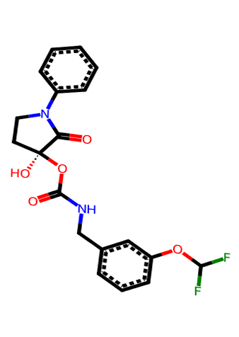 O=C(NCc1cccc(OC(F)F)c1)O[C@@]1(O)CCN(c2ccccc2)C1=O